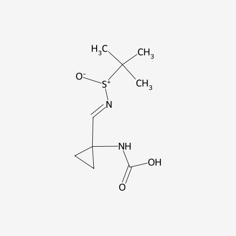 CC(C)(C)[S+]([O-])N=CC1(NC(=O)O)CC1